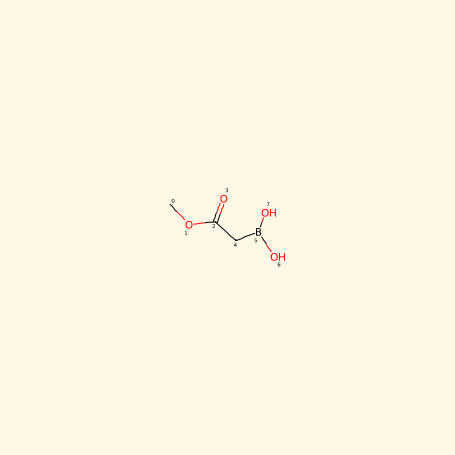 COC(=O)CB(O)O